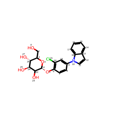 OCC1O[C@H](Oc2ccc(-n3ccc4ccccc43)cc2Cl)C(O)[C@@H](O)[C@@H]1O